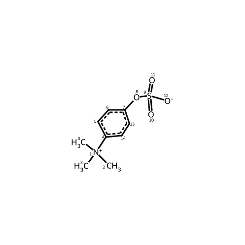 C[N+](C)(C)c1ccc(OS(=O)(=O)[O-])cc1